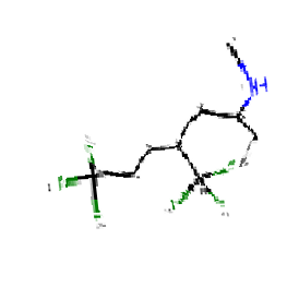 CNC(C)CC(CCC(F)(F)F)C(F)(F)F